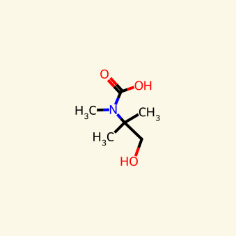 CN(C(=O)O)C(C)(C)CO